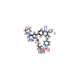 CC(C)(C)OC(=O)N1CCC(N2CC(C(Nc3ccc(-c4cc5c(N6CCOCC6)ncnc5n4COCC[Si](C)(C)C)cc3)C(F)(F)F)C2)CC1